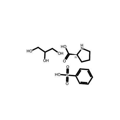 O=C(O)[C@@H]1CCCN1.O=S(=O)(O)c1ccccc1.OCC(O)CO